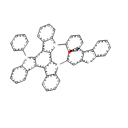 c1ccc(-n2c3ccccc3c3c4c5ccccc5n(-c5ccc6c(c5)sc5ccccc56)c4c4c(c5ccccc5n4-c4ccccc4)c32)cc1